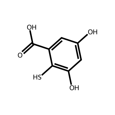 O=C(O)c1cc(O)cc(O)c1S